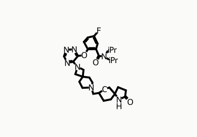 CC(C)N(C(=O)c1cc(F)ccc1Oc1nncnc1N1CC2(CCN(CC3CCC4(CCC(=O)N4)CC3)CC2)C1)C(C)C